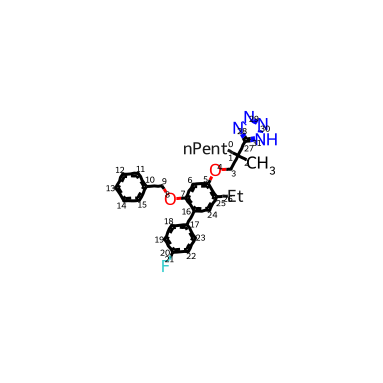 CCCCCC(C)(COc1cc(OCc2ccccc2)c(-c2ccc(F)cc2)cc1CC)c1nnn[nH]1